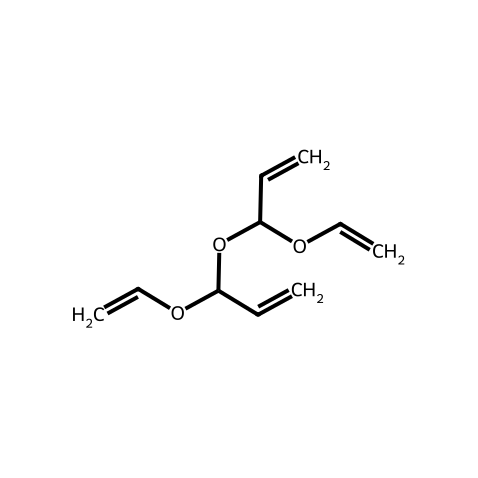 C=COC(C=C)OC(C=C)OC=C